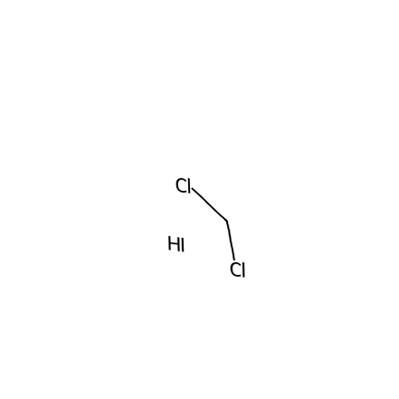 ClCCl.I